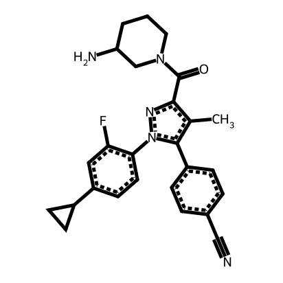 Cc1c(C(=O)N2CCCC(N)C2)nn(-c2ccc(C3CC3)cc2F)c1-c1ccc(C#N)cc1